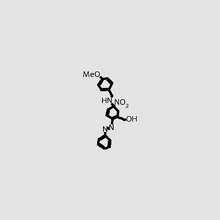 COc1ccc(CNC2([N+](=O)[O-])C=CC(N=Nc3ccccc3)=C(CO)C2)cc1